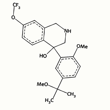 COc1ccc(C(C)(C)OC)cc1C1(O)CNCc2cc(OC(F)(F)F)ccc21